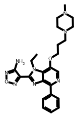 CCn1c(-c2nonc2N)nc2c(-c3ccccc3)ncc(OCCCN3CCN(C)CC3)c21